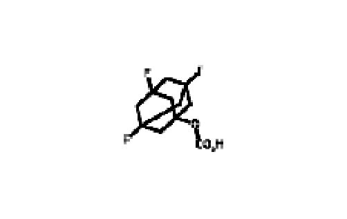 O=C(O)OC12CC3(F)CC(F)(CC(F)(C3)C1)C2